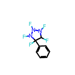 FC1N(F)N(F)N(F)C1(F)c1ccccc1